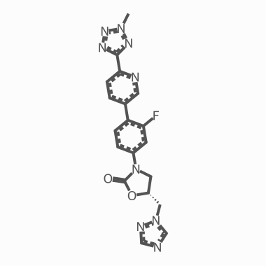 Cn1nnc(-c2ccc(-c3ccc(N4C[C@H](Cn5cncn5)OC4=O)cc3F)cn2)n1